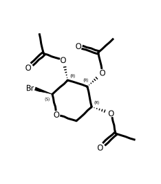 CC(=O)O[C@@H]1[C@H](OC(C)=O)[C@H](OC(C)=O)CO[C@H]1Br